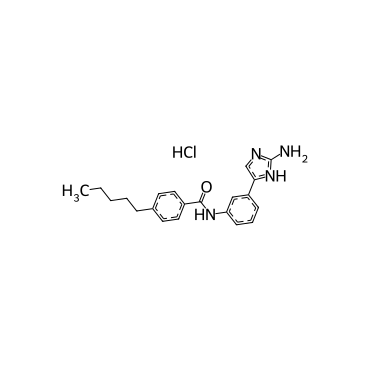 CCCCCc1ccc(C(=O)Nc2cccc(-c3cnc(N)[nH]3)c2)cc1.Cl